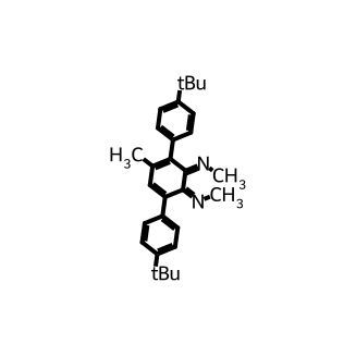 C/N=C1/C(c2ccc(C(C)(C)C)cc2)=CC(C)=C(c2ccc(C(C)(C)C)cc2)/C1=N/C